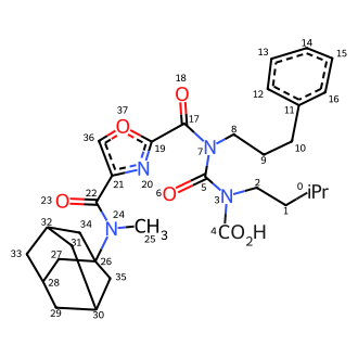 CC(C)CCN(C(=O)O)C(=O)N(CCCc1ccccc1)C(=O)c1nc(C(=O)N(C)C23CC4CC(CC(C4)C2)C3)co1